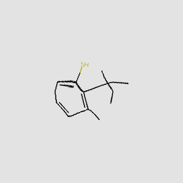 Cc1cccc(S)c1C(C)(C)C